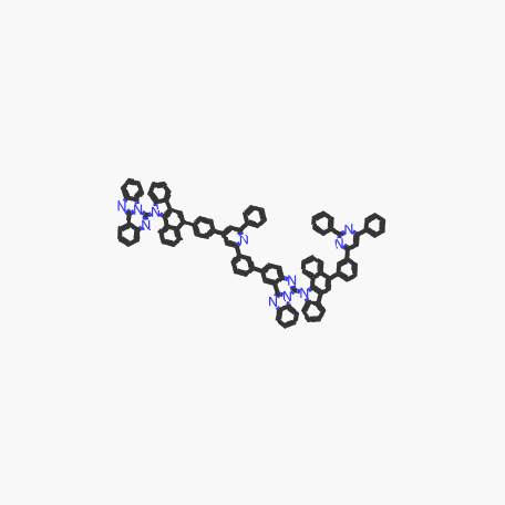 c1ccc(-c2cc(-c3ccc(-c4cc5c6ccccc6n(-c6nc7ccccc7c7nc8ccccc8n67)c5c5ccccc45)cc3)cc(-c3cccc(-c4ccc5nc(-n6c7ccccc7c7cc(-c8cccc(-c9cc(-c%10ccccc%10)nc(-c%10ccccc%10)n9)c8)c8ccccc8c76)n6c7ccccc7nc6c5c4)c3)n2)cc1